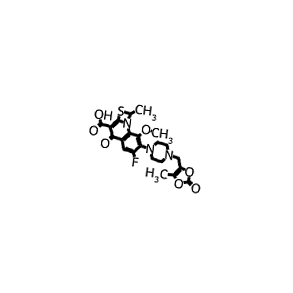 COc1c(N2CCN(Cc3oc(=O)oc3C)CC2)c(F)cc2c(=O)c(C(=O)O)c3n(c12)C(C)S3